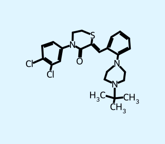 CC(C)(C)N1CCN(c2ccccc2/C=C2\SCCN(c3ccc(Cl)c(Cl)c3)C2=O)CC1